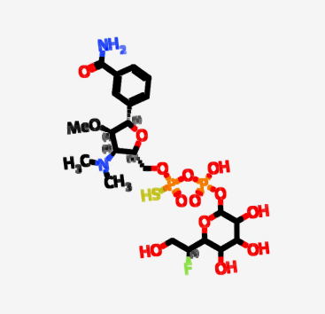 CO[C@@H]1[C@H](N(C)C)[C@@H](COP(=O)(S)OP(=O)(O)OC2OC([C@@H](F)CO)C(O)C(O)C2O)O[C@H]1c1cccc(C(N)=O)c1